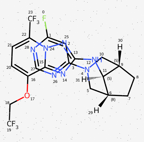 Fc1cc(N2C[C@H]3CC[C@@H](C2)[C@@H]3Nc2nc3c(OCC(F)(F)F)ccc(C(F)(F)F)n3n2)ncn1